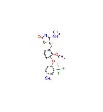 CNC1=NC(=O)S/C1=C\c1cccc(Oc2ccc(N)cc2C(F)(F)F)c1OC